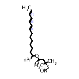 C/C=C/C=C/C=C/CCCCCCC(CCC)OC(=O)CC(C)(C)SN=O